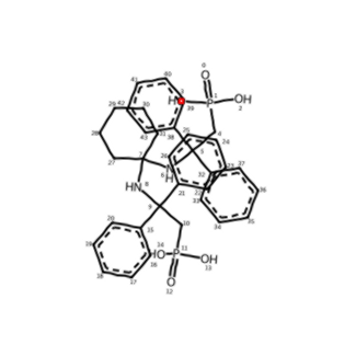 O=P(O)(O)CC(NC1(NC(CP(=O)(O)O)(c2ccccc2)c2ccccc2)CCCCC1)(c1ccccc1)c1ccccc1